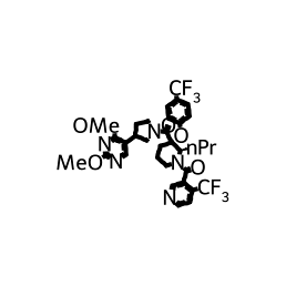 CCC[C@H]1N(C(=O)c2cnccc2C(F)(F)F)CCC[C@@]1(Oc1ccc(C(F)(F)F)cc1)C(=O)N1CCC(c2cnc(OC)nc2OC)C1